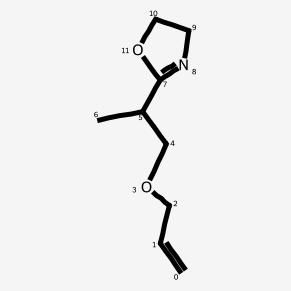 C=CCOCC(C)C1=NCCO1